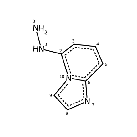 NNc1cccc2nccn12